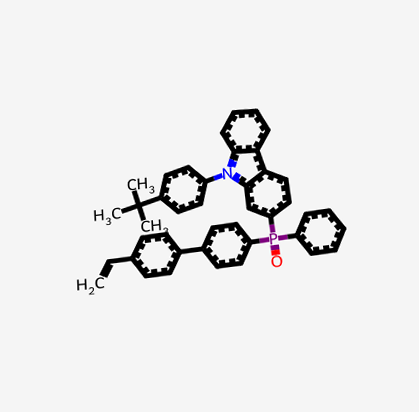 C=Cc1ccc(-c2ccc(P(=O)(c3ccccc3)c3ccc4c5ccccc5n(-c5ccc(C(C)(C)C)cc5)c4c3)cc2)cc1